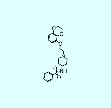 O=S(=O)(NC1CCN(CCOc2cccc3c2OCCO3)CC1)c1ccccc1